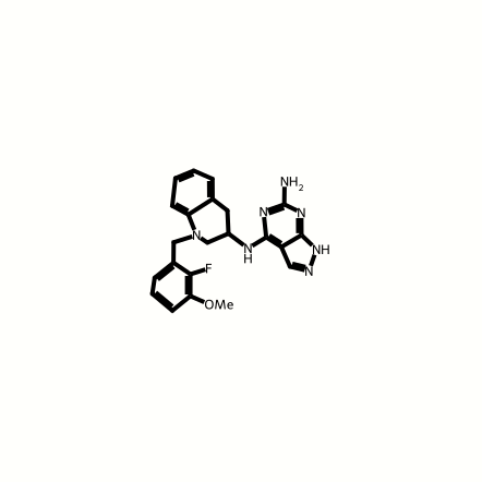 COc1cccc(CN2CC(Nc3nc(N)nc4[nH]ncc34)Cc3ccccc32)c1F